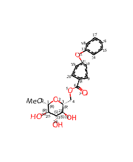 CO[C@@H]1O[C@H](COC(=O)c2ccc(Oc3ccccc3)cc2)[C@@H](O)[C@H](O)[C@H]1O